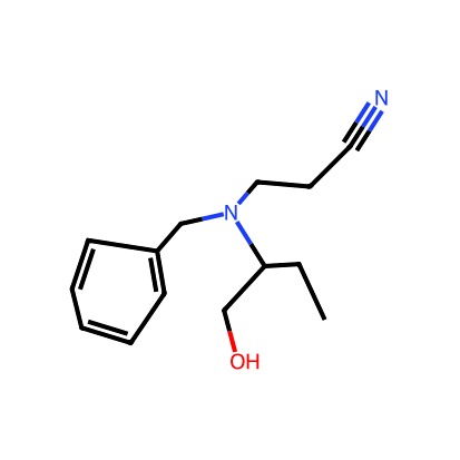 CCC(CO)N(CCC#N)Cc1ccccc1